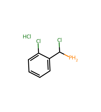 Cl.PC(Cl)c1ccccc1Cl